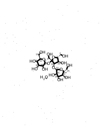 O.OC[C@H]1O[C@@](CO)(O[C@H]2O[C@H](CO)[C@@H](O)[C@H](O)[C@H]2O)[C@@H](O[C@H]2O[C@H](CO)[C@@H](O)[C@H](O)[C@H]2O)[C@@H]1O